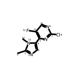 Cc1ncc(-c2nc(Cl)ncc2F)n1C